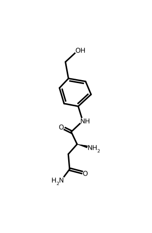 NC(=O)C[C@H](N)C(=O)Nc1ccc(CO)cc1